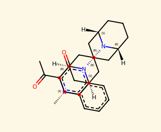 CC(=O)c1nc2ccccc2n([C@H]2C[C@H]3CCC[C@@H](C2)N3[C@H]2C[C@@H]3C[C@@H](C)C[C@@H](C3)C2)c1=O